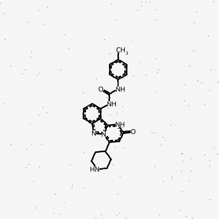 Cc1ccc(NC(=O)Nc2cccc3nn4c(C5CCNCC5)cc(=O)[nH]c4c23)cc1